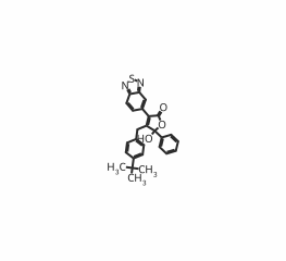 CC(C)(C)c1ccc(CC2=C(c3ccc4nsnc4c3)C(=O)OC2(O)c2ccccc2)cc1